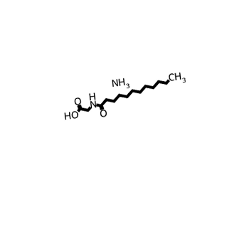 CCCCCCCCCCCC(=O)NCC(=O)O.N